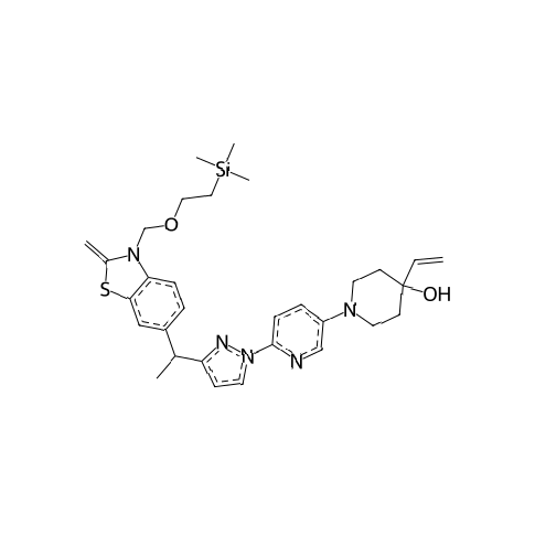 C=CC1(O)CCN(c2ccc(-n3ccc(C(C)c4ccc5c(c4)SC(=C)N5COCC[Si](C)(C)C)n3)nc2)CC1